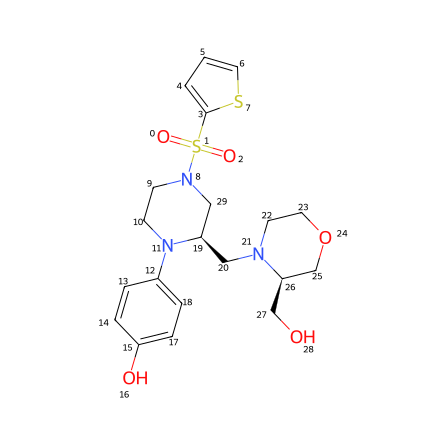 O=S(=O)(c1cccs1)N1CCN(c2ccc(O)cc2)[C@H](CN2CCOC[C@H]2CO)C1